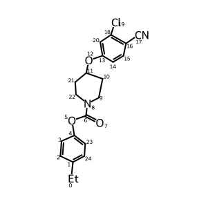 CCc1ccc(OC(=O)N2CCC(Oc3ccc(C#N)c(Cl)c3)CC2)cc1